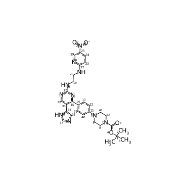 CC(C)(C)OC(=O)N1CCN(c2ccc(-c3nc(NCCNc4ccc([N+](=O)[O-])cn4)ncc3-c3cnc[nH]3)cc2)CC1